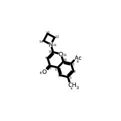 CC(=O)c1cc(C)cc2c(=O)cc(N3CCC3)oc12